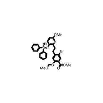 COCOc1cc(CCc2nc(OC)ccc2O[Si](c2ccccc2)(c2ccccc2)C(C)(C)C)c(Br)cc1C(=O)OC